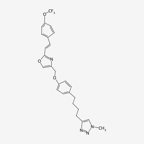 Cn1cc(CCCCc2ccc(OCc3coc(C=Cc4ccc(OC(F)(F)F)cc4)n3)cc2)nn1